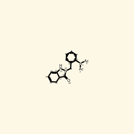 CC(=O)N(C(C)=O)c1ccccc1CN1NC2=CC=CCC2C1=O